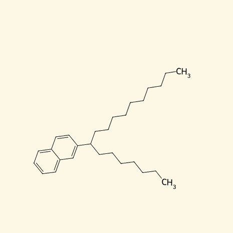 CCCCCCCCCCC(CCCCCCC)c1ccc2ccccc2c1